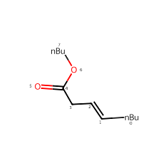 CCCCC=CCC(=O)OCCCC